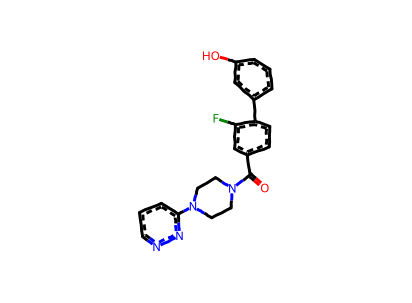 O=C(c1ccc(-c2cccc(O)c2)c(F)c1)N1CCN(c2cccnn2)CC1